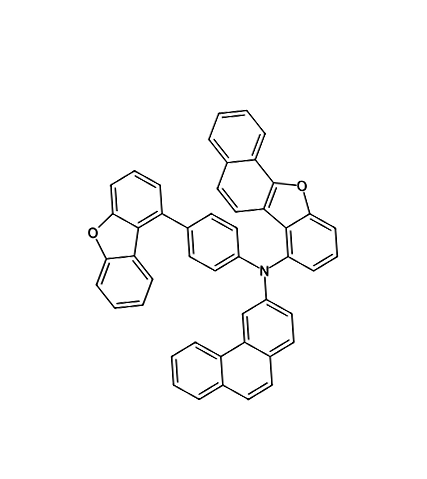 c1ccc2c(c1)ccc1ccc(N(c3ccc(-c4cccc5oc6ccccc6c45)cc3)c3cccc4oc5c6ccccc6ccc5c34)cc12